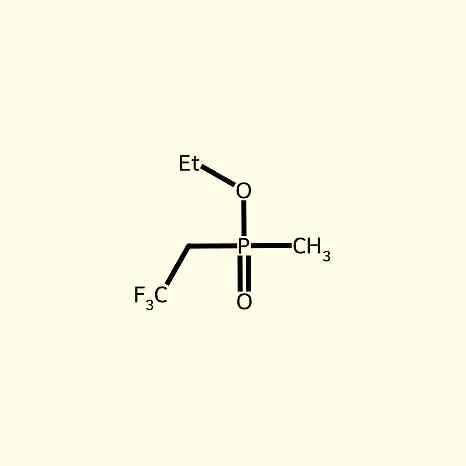 CCOP(C)(=O)CC(F)(F)F